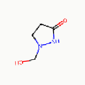 O=C1CCN(CO)N1